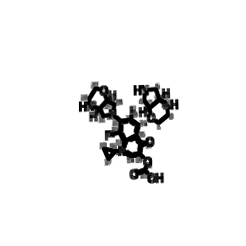 C1CO[C@H]2CNC[C@H]2N1.O=C(O)Oc1cn(C2CC2)c2c(F)c(N3C[C@@H]4OCCN[C@@H]4C3)c(F)cc2c1=O